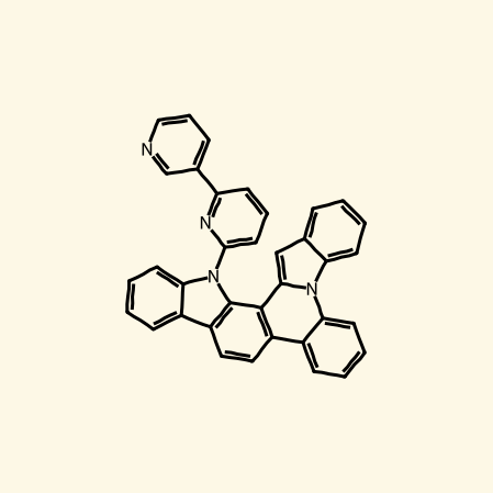 c1cncc(-c2cccc(-n3c4ccccc4c4ccc5c6ccccc6n6c7ccccc7cc6c5c43)n2)c1